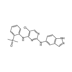 CP(C)(=O)c1ccccc1Nc1nc(Nc2ccc3[nH]ncc3c2)ncc1Cl